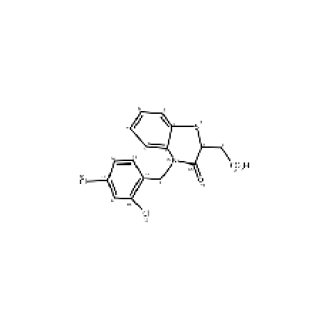 O=C(O)CC1Sc2ccccc2N(Cc2ccc(Cl)cc2Cl)C1=O